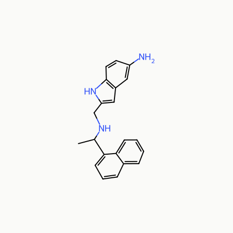 CC(NCc1cc2cc(N)ccc2[nH]1)c1cccc2ccccc12